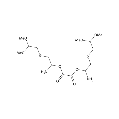 COC(CSCC(N)OC(=O)C(=O)OC(N)CSCC(OC)OC)OC